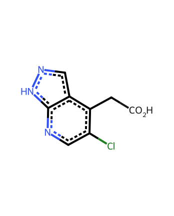 O=C(O)Cc1c(Cl)cnc2[nH]ncc12